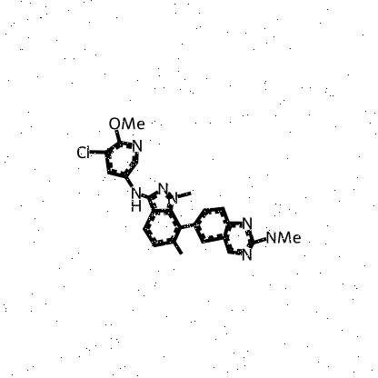 CNc1ncc2cc(-c3c(C)ccc4c(Nc5cnc(OC)c(Cl)c5)nn(C)c34)ccc2n1